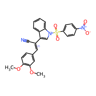 COc1ccc(/C=C(\C#N)c2cn(S(=O)(=O)c3ccc([N+](=O)[O-])cc3)c3ccccc23)cc1OC